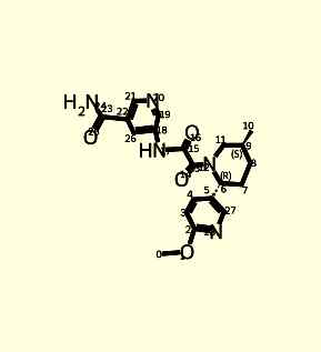 COc1ccc([C@H]2CC[C@H](C)CN2C(=O)C(=O)Nc2cncc(C(N)=O)c2)cn1